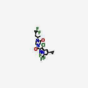 CC(CC1CC1(F)F)N1CCN(C(=O)c2nn3c(C(F)(F)F)cc(C4CC4)cc3c2Cl)CC1=O